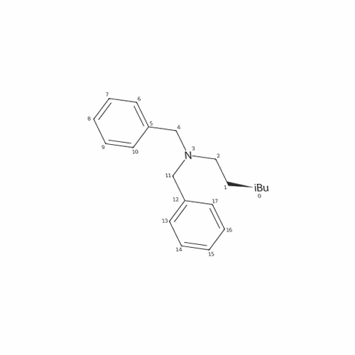 CC[C@H](C)CCN(Cc1ccccc1)Cc1ccccc1